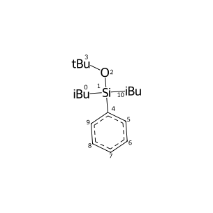 CCC(C)[Si](OC(C)(C)C)(c1ccccc1)C(C)CC